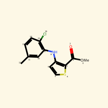 COC(=O)c1sccc1Nc1cc(C)ccc1Cl